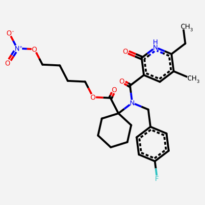 CCc1[nH]c(=O)c(C(=O)N(Cc2ccc(F)cc2)C2(C(=O)OCCCCO[N+](=O)[O-])CCCCC2)cc1C